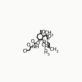 CO[C@H]1[C@H](OC(=O)NC(=O)CCl)CC[C@]2(CO2)[C@H]1[C@@]1(C)O[C@@H]1CC=C(C)C